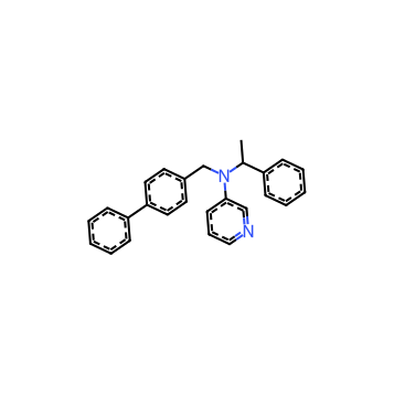 CC(c1ccccc1)N(Cc1ccc(-c2ccccc2)cc1)c1cccnc1